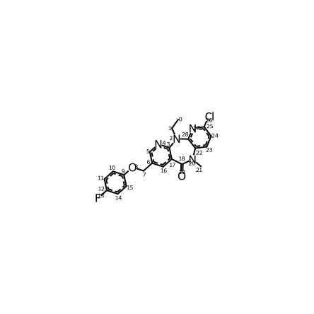 CCN1c2ncc(COc3ccc(F)cc3)cc2C(=O)N(C)c2ccc(Cl)nc21